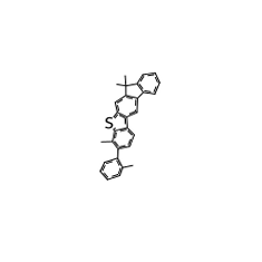 Cc1ccccc1-c1ccc2c(sc3cc4c(cc32)-c2ccccc2C4(C)C)c1C